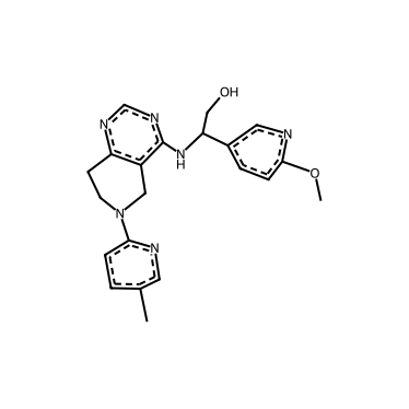 COc1ccc(C(CO)Nc2ncnc3c2CN(c2ccc(C)cn2)CC3)cn1